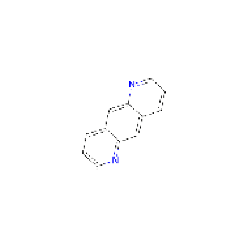 [c]1ccc2cc3ncccc3cc2n1